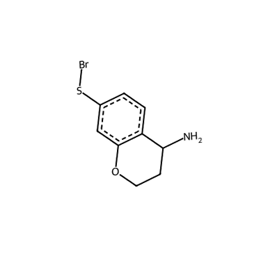 NC1CCOc2cc(SBr)ccc21